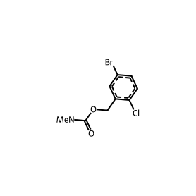 CNC(=O)OCc1cc(Br)ccc1Cl